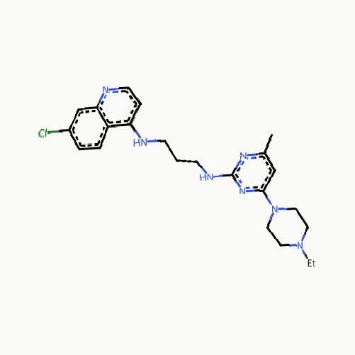 CCN1CCN(c2cc(C)nc(NCCCNc3ccnc4cc(Cl)ccc34)n2)CC1